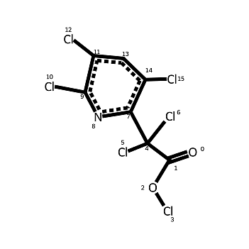 O=C(OCl)C(Cl)(Cl)c1nc(Cl)c(Cl)cc1Cl